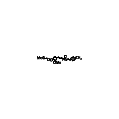 COCCOCOc1ccc(C=CC=CC(=O)NCCN2CCN(C)CC2)cc1OC